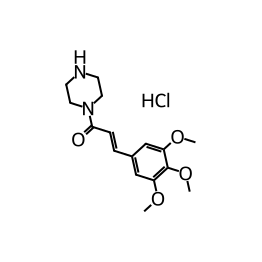 COc1cc(C=CC(=O)N2CCNCC2)cc(OC)c1OC.Cl